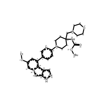 CCOc1cc(-c2ccc(N3CCC(CN4CCOCC4)(NC(=O)OC(C)(C)C)CC3)nc2)c2c3cn[nH]c3nn2c1